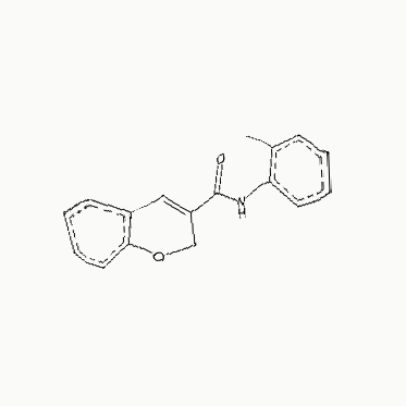 Cc1ccccc1NC(=O)C1=Cc2ccccc2OC1